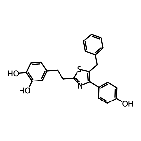 Oc1ccc(-c2nc(CCc3ccc(O)c(O)c3)sc2Cc2ccccc2)cc1